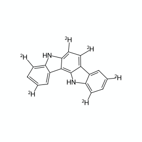 [2H]c1cc([2H])c2[nH]c3c(c([2H])c([2H])c4[nH]c5c([2H])cc([2H])cc5c43)c2c1